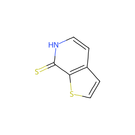 S=c1[nH]ccc2ccsc12